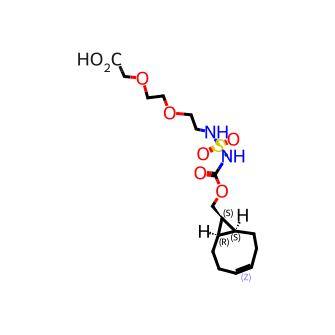 O=C(O)COCCOCCNS(=O)(=O)NC(=O)OC[C@@H]1[C@@H]2CC/C=C\CC[C@@H]21